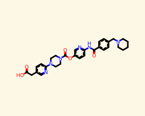 O=C(O)Cc1ccc(N2CCN(C(=O)Oc3ccc(NC(=O)c4ccc(CN5CCCCC5)cc4)nc3)CC2)nc1